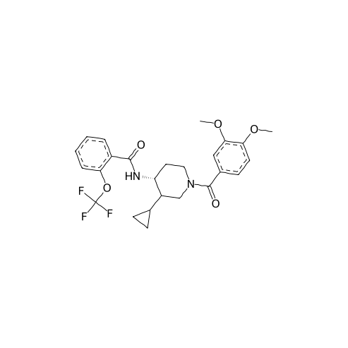 COc1ccc(C(=O)N2CC[C@@H](NC(=O)c3ccccc3OC(F)(F)F)C(C3CC3)C2)cc1OC